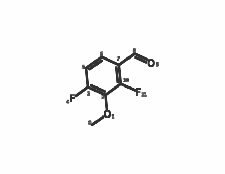 COc1c(F)ccc(C=O)c1F